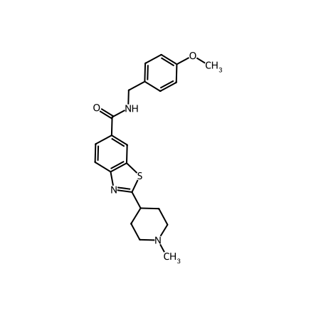 COc1ccc(CNC(=O)c2ccc3nc(C4CCN(C)CC4)sc3c2)cc1